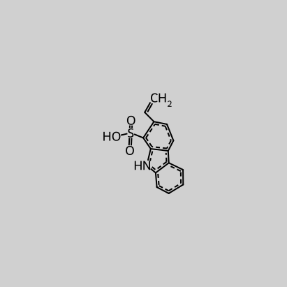 C=Cc1ccc2c([nH]c3ccccc32)c1S(=O)(=O)O